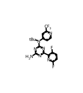 CC(C)(C)N(c1ccnc(C(F)(F)F)c1)c1nc(N)nc(-c2nc(F)ccc2F)n1